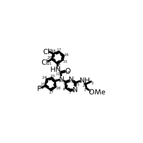 COCC(C)Nc1nccc(N(C(=O)Nc2cccc(Cl)c2Cl)c2ccc(F)cc2)n1